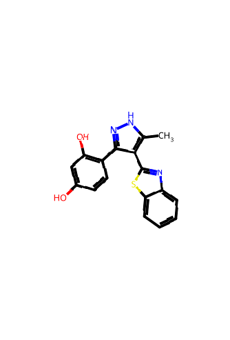 Cc1[nH]nc(-c2ccc(O)cc2O)c1-c1nc2ccccc2s1